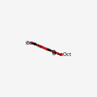 CCCCCCCC/C=C\CCCCCCCC(=O)OCCCCCCCCCCCCCCCCCCCCCCCCCCCCCCC(C)CC